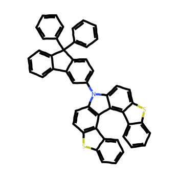 c1ccc(C2(c3ccccc3)c3ccccc3-c3cc(-n4c5ccc6sc7ccccc7c6c5c5c6c(ccc54)sc4ccccc46)ccc32)cc1